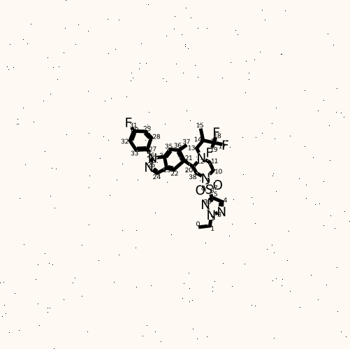 CCn1ncc(S(=O)(=O)N2CCN(CC(C)C(F)(F)F)C(c3cc4cnn(-c5ccc(F)cc5)c4cc3C)C2)n1